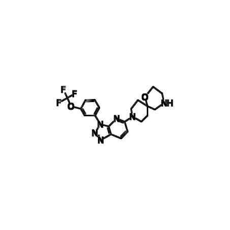 FC(F)(F)Oc1cccc(-n2nnc3ccc(N4CCC5(CC4)CNCCO5)nc32)c1